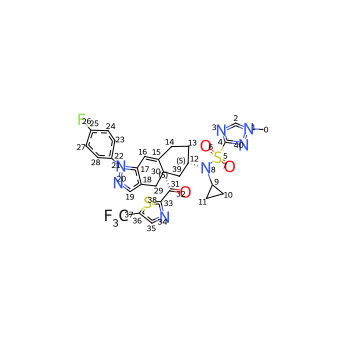 Cn1cnc(S(=O)(=O)N(C2CC2)[C@H]2CCC3=Cc4c(cnn4-c4ccc(F)cc4)C[C@]3(C(=O)c3ncc(C(F)(F)F)s3)C2)n1